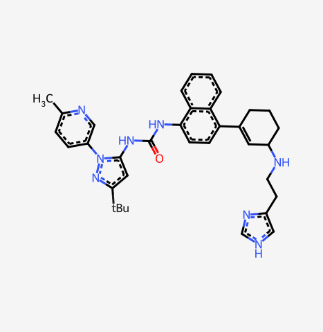 Cc1ccc(-n2nc(C(C)(C)C)cc2NC(=O)Nc2ccc(C3=CC(NCCc4c[nH]cn4)CCC3)c3ccccc23)cn1